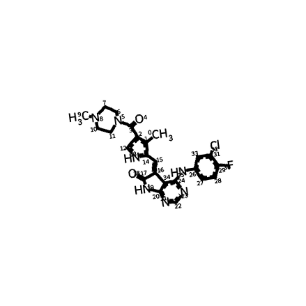 Cc1c(C(=O)N2CCN(C)CC2)c[nH]c1C=C1C(=O)Nc2ncnc(Nc3ccc(F)c(Cl)c3)c21